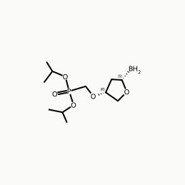 B[C@H]1C[C@@H](OCP(=O)(OC(C)C)OC(C)C)CO1